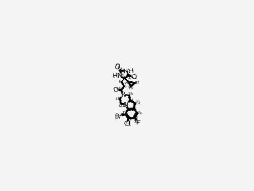 O=C1NC(=O)[C@](CCC(=O)N2CCN3c4c(cc(F)c(Cl)c4Br)CC3C2)(C2CC2)N1